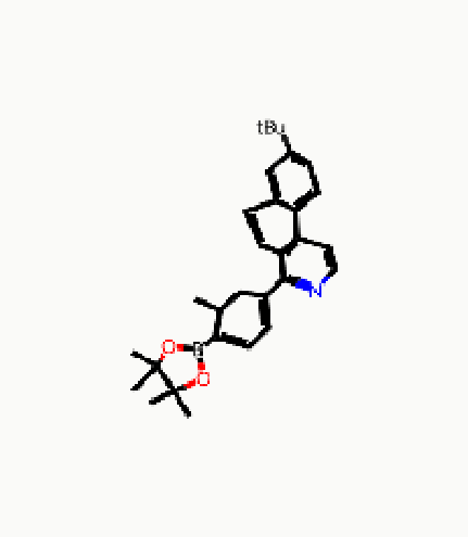 CC1CC(c2nccc3c2ccc2cc(C(C)(C)C)ccc23)=CC=C1B1OC(C)(C)C(C)(C)O1